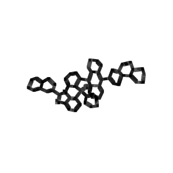 O=P1(c2ccccc2)c2c(-c3c4ccccc4c(-c4ccc5c(ccc6ccccc65)c4)c4ccccc34)cccc2-n2c(-c3ccc4ccccc4c3)nc3cccc1c32